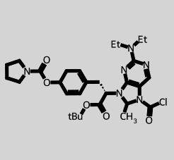 CCN(CC)c1ncc2c(n1)N([C@@H](CC1=CCC(OC(=O)N3CCCC3)C=C1)C(=O)OC(C)(C)C)C(C)N2C(=O)Cl